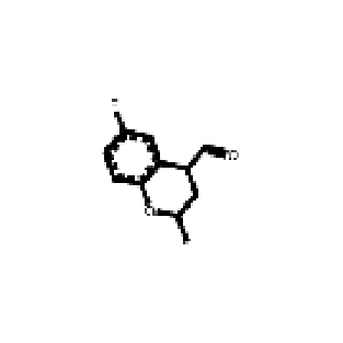 CC1CC(C=O)c2cc(F)ccc2O1